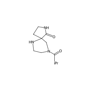 CC(C)C(=O)N1CCNC2(CCNC2=O)C1